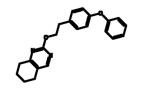 c1ccc(Oc2ccc(CCOc3ncc4c(n3)CCCC4)cc2)cc1